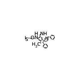 C=Cc1cc(NCOCCSI)c(C=N)cc1C1(Cc2ccccc2)CCN(Cc2ccccc2)C1